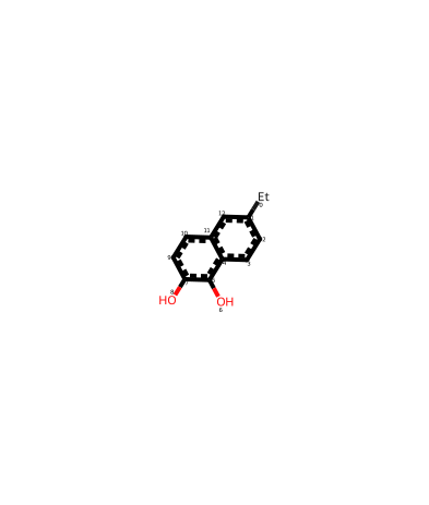 CCc1ccc2c(O)c(O)ccc2c1